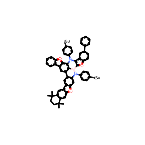 CC(C)(C)c1ccc(N2B3c4oc5ccc(-c6ccccc6)cc5c4N(c4ccc(C(C)(C)C)cc4)c4c3c(cc3c4oc4ccccc43)-c3cc4c(cc32)oc2cc3c(cc24)C(C)(C)CCC3(C)C)cc1